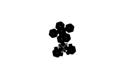 Cc1cccc(C)c1-c1nc(-c2c(C)cccc2C)nc(-c2ccc3c4c(cccc24)C2C(c4ccccc4)=c4ccccc4=C(c4ccccc4)C32)n1